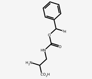 [2H]C(OC(=O)NCC(N)C(=O)O)c1ccccc1